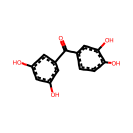 O=C(c1cc(O)cc(O)c1)c1ccc(O)c(O)c1